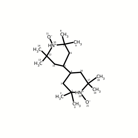 CC1(C)CC(C2CC(C)(C)[NH+]([O-])C(C)(C)C2)CC(C)(C)[NH+]1[O-]